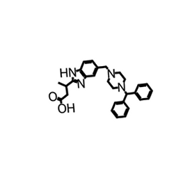 CC(CC(=O)O)c1nc2cc(CN3CCN(C(c4ccccc4)c4ccccc4)CC3)ccc2[nH]1